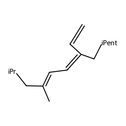 C=C/C(=C\C=C(/C)CC(C)C)CC(C)CCC